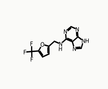 FC(F)(F)c1ccc(CNc2ncnc3[nH]cnc23)o1